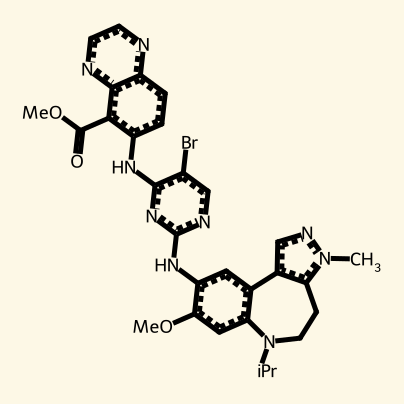 COC(=O)c1c(Nc2nc(Nc3cc4c(cc3OC)N(C(C)C)CCc3c-4cnn3C)ncc2Br)ccc2nccnc12